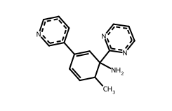 CC1C=CC(c2cccnc2)=CC1(N)c1ncccn1